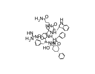 N=C(N)NCCC[C@H](NC(=O)[C@@H](Cc1ccccc1)NC(O)[C@]1(NC(=O)Cc2ccccc2)CC[C@@H](c2ccccc2)CC1)C(=O)N[C@@H](Cc1c[nH]c2ccccc12)C(=O)NCCC(N)=O